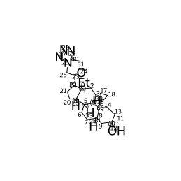 CC[C@]12CC[C@H]3[C@@H](CC[C@@H]4C[C@](C)(O)CC[C@@]43C3CC3)[C@@H]1CC[C@@H]2C(=O)Cn1nnnc1C